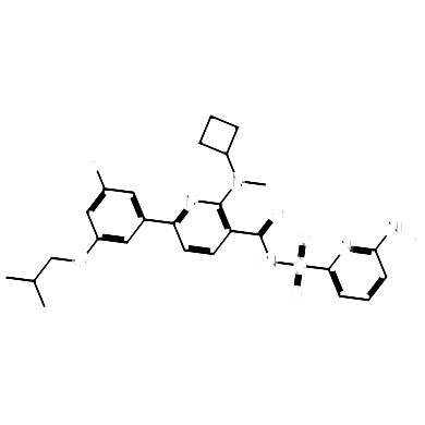 CC(C)COc1cc(F)cc(-c2ccc(C(=O)NS(=O)(=O)c3cccc(N)n3)c(N(C)C3CCC3)n2)c1